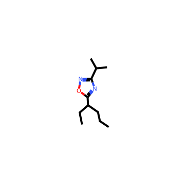 CCCC(CC)c1nc(C(C)C)no1